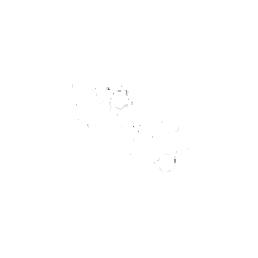 CCc1cc2c(s1)CCO[C@@]21CCN(Cc2cn(CC3(C4CCOCC4)CC3)nn2)[C@@H](C)C1